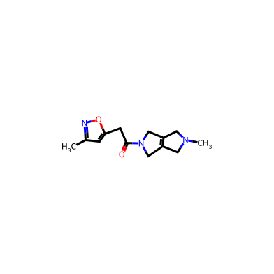 Cc1cc(CC(=O)N2CC3=C(CN(C)C3)C2)on1